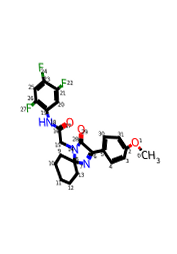 COc1ccc(C2=NC3(CCCCC3)N(CC(=O)Nc3cc(F)c(F)cc3F)C2=O)cc1